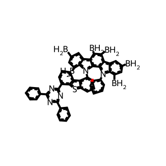 Bc1cc(B)c2c(c1)c1c(B)c(B)c3c4cc(B)cc(B)c4n(-c4cccc5sc6c(-c7nc(-c8ccccc8)nc(-c8ccccc8)n7)cccc6c45)c3c1n2-c1ccccc1